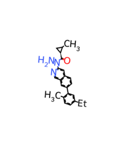 CCc1ccc(C)c(-c2ccc3cc(N(N)C(=O)[C@H]4CC4C)ncc3c2)c1